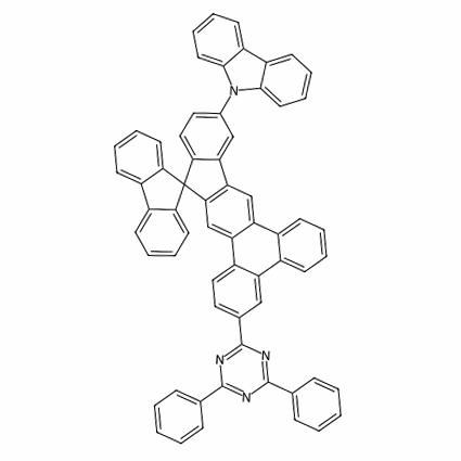 c1ccc(-c2nc(-c3ccccc3)nc(-c3ccc4c(c3)c3ccccc3c3cc5c(cc43)C3(c4ccccc4-c4ccccc43)c3ccc(-n4c6ccccc6c6ccccc64)cc3-5)n2)cc1